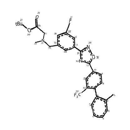 Cc1ccccc1-c1ccc(-c2nc(-c3cc(F)cc(CN(C)CC(=O)OC(C)(C)C)c3)no2)cc1C(F)(F)F